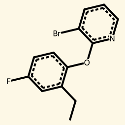 CCc1cc(F)ccc1Oc1ncccc1Br